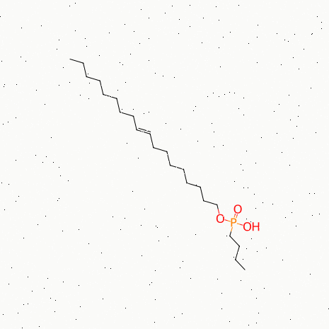 CCCCCCCCC=CCCCCCCCCOP(=O)(O)CCCC